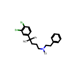 CCN(CCCC(C#N)(c1ccc(Br)c(Br)c1)C(C)C)CCc1ccccc1